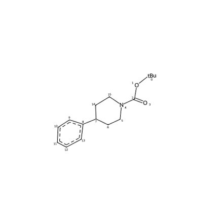 CC(C)(C)OC(=O)N1CCC(c2c[c]ccc2)CC1